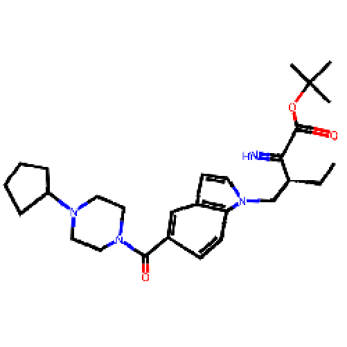 CC[C@@H](Cn1ccc2cc(C(=O)N3CCN(C4CCCC4)CC3)ccc21)C(=N)C(=O)OC(C)(C)C